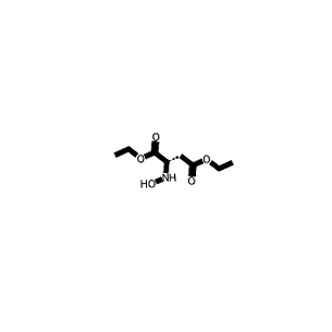 CCOC(=O)C[C@H](NO)C(=O)OCC